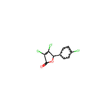 O=C1OC(c2ccc(Cl)cc2)C(Cl)=C1Cl